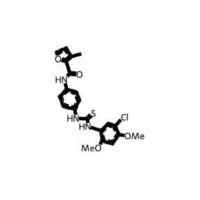 COc1cc(OC)c(NC(=S)Nc2ccc(NC(=O)c3occc3C)cc2)cc1Cl